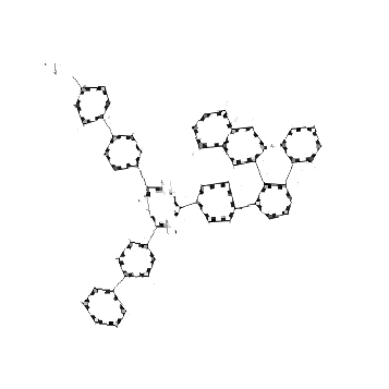 N#Cc1ccc(-c2ccc(-c3nc(-c4ccc(-c5ccccc5)cc4)nc(-c4ccc(-c5cccc(-c6ccccc6)c5-c5ccc6ccccc6c5)cc4)n3)cc2)cc1